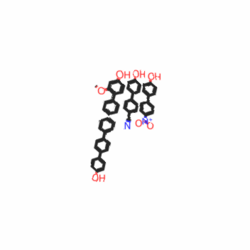 COc1cc(O)ccc1-c1ccccc1.N#Cc1ccc(-c2ccc(O)cc2)cc1.O=[N+]([O-])c1ccc(-c2ccc(O)cc2)cc1.Oc1ccc(-c2ccc(-c3ccccc3)cc2)cc1